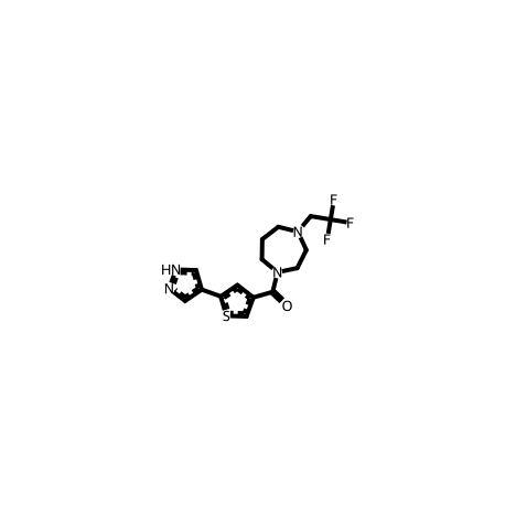 O=C(c1csc(-c2cn[nH]c2)c1)N1CCCN(CC(F)(F)F)CC1